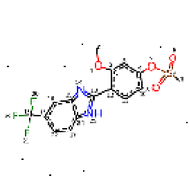 COc1cc(OS(C)(=O)=O)ccc1-c1nc2cc(C(F)(F)F)ccc2[nH]1